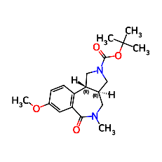 COc1ccc2c(c1)C(=O)N(C)C[C@@H]1CN(C(=O)OC(C)(C)C)C[C@@H]21